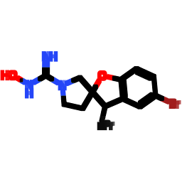 CCCC1c2cc(Br)ccc2OC12CCN(C(=N)NO)C2